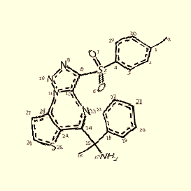 Cc1ccc(S(=O)(=O)c2nnn3c2nc(C(C)(N)c2ccccc2)c2sccc23)cc1